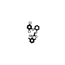 Cc1cccc(C)c1NC(=O)CSC1CCCCC1Sc1cc(Cl)ccc1Cl